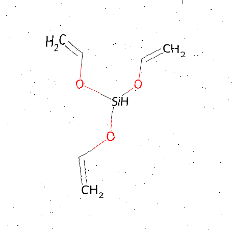 C=CO[SiH](OC=C)OC=C